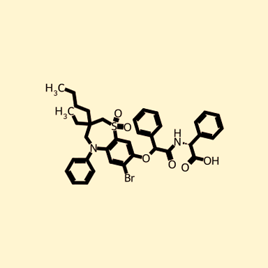 CCCCC1(CC)CN(c2ccccc2)c2cc(Br)c(OC(C(=O)N[C@@H](C(=O)O)c3ccccc3)c3ccccc3)cc2S(=O)(=O)C1